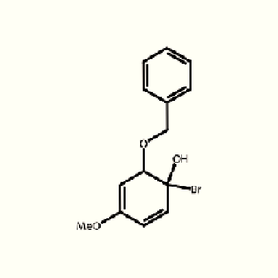 COC1=CC(OCc2ccccc2)C(O)(Br)C=C1